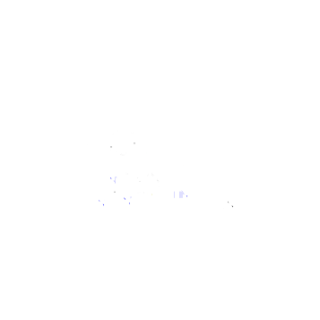 N#CCCNC(=O)c1cc2c(-c3c(Cl)cc(Cl)c4c3CCO4)nc(N)nc2s1